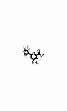 BC1=NOC(c2cc(N)c(Cl)c(C(=O)OC)n2)C1